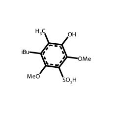 CCC(C)c1c(C)c(O)c(OC)c(S(=O)(=O)O)c1OC